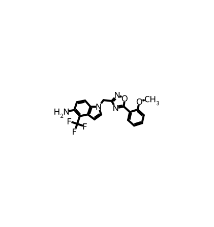 COc1ccccc1-c1nc(Cn2ccc3c(C(F)(F)F)c(N)ccc32)no1